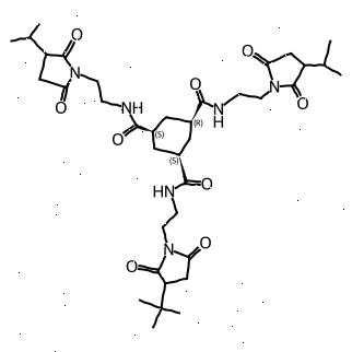 CC(C)C1CC(=O)N(CCNC(=O)[C@@H]2C[C@H](C(=O)NCCN3C(=O)CC(C(C)C)C3=O)C[C@H](C(=O)NCCN3C(=O)CC(C(C)(C)C)C3=O)C2)C1=O